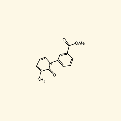 COC(=O)c1cccc(-n2cccc(N)c2=O)c1